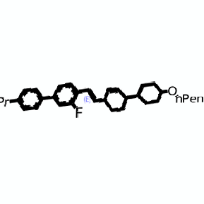 CCCCCOC1CCC(C2C=CC(/C=C/c3ccc(-c4ccc(CCC)cc4)cc3F)CC2)CC1